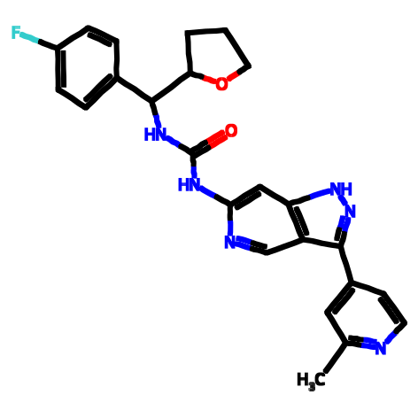 Cc1cc(-c2n[nH]c3cc(NC(=O)NC(c4ccc(F)cc4)C4CCCO4)ncc23)ccn1